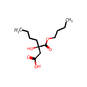 CCCCOC(=O)C(O)(CCCC)CC(=O)O